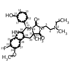 CCN(C)CCN1C(=O)N2[C@H](c3cccc(O)c3)c3[nH]c4cc(F)c(OC)cc4c3C[C@@]2(C)C1=O